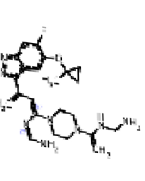 C=C(/C=C(\N=C/N)N1CCN(C(=C)NCN)CC1)c1n[nH]c2cc(F)c(OC3(C)CC3)cc12